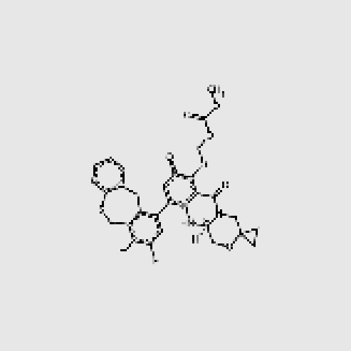 COC(=O)OCOc1c2n(c(-c3cc(F)c(F)c4c3Cc3ccccc3SC4)cc1=O)N[C@@H]1COC3(CC3)CN1C2=O